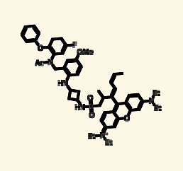 C/C=C\C=C(\c1c2ccc(=[N+](CC)CC)cc-2oc2cc(N(CC)CC)ccc12)C(C)CS(=O)(=O)NC1CC(Nc2ccc(OC)cc2CN(C(C)=O)C2=C(Oc3ccccc3)CCC(F)=C2)C1